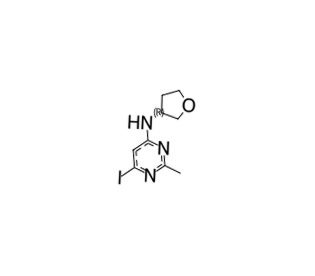 Cc1nc(I)cc(N[C@@H]2CCOC2)n1